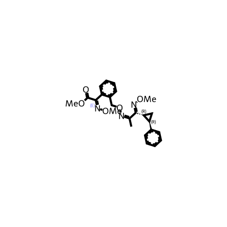 CON=C(C(C)=NOCc1ccccc1/C(=N\OC)C(=O)OC)[C@@H]1C[C@H]1c1ccccc1